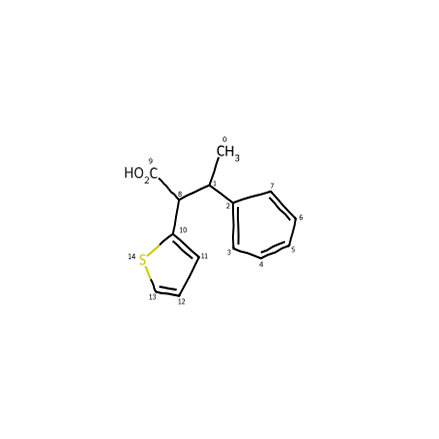 CC(c1ccccc1)C(C(=O)O)c1cccs1